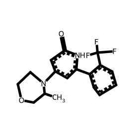 CC1COCCN1c1cc(-c2ccccc2C(F)(F)F)[nH]c(=O)c1